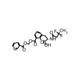 CC(F)(F)CC(=O)N[C@H]1Cc2cccc(C(=O)OCOC(=O)c3cccnc3)c2OB1O